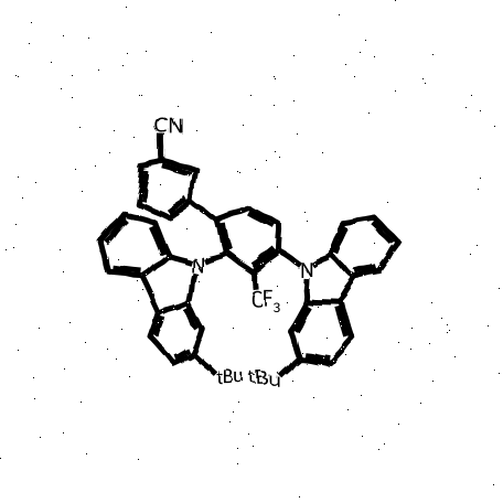 CC(C)(C)c1ccc2c3ccccc3n(-c3ccc(-c4cccc(C#N)c4)c(-n4c5ccccc5c5ccc(C(C)(C)C)cc54)c3C(F)(F)F)c2c1